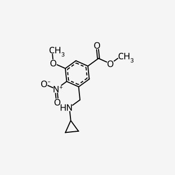 COC(=O)c1cc(CNC2CC2)c([N+](=O)[O-])c(OC)c1